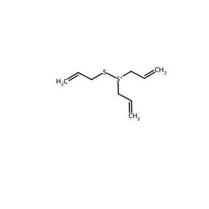 C=CCS[S+](CC=C)CC=C